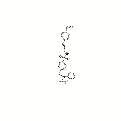 COc1ccc(C=CCNS(=O)(=O)c2ccc(Cn3c(C)nc4ccccc43)cc2)cc1